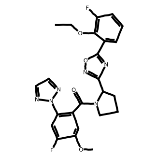 CCOc1c(F)cccc1-c1nc(C2CCCN2C(=O)c2cc(OC)c(F)cc2-n2nccn2)no1